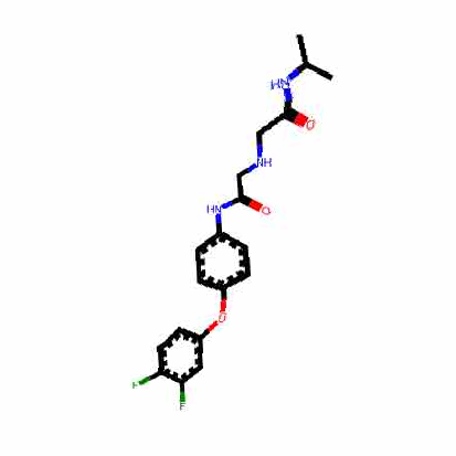 CC(C)NC(=O)CNCC(=O)Nc1ccc(Oc2ccc(F)c(F)c2)cc1